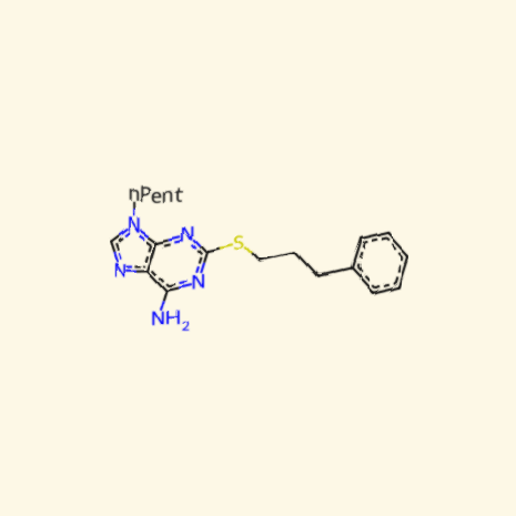 CCCCCn1cnc2c(N)nc(SCCCc3ccccc3)nc21